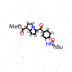 CCCCNOc1ccc(C(=O)c2ccc3n2CCC3C(=O)OC)cc1